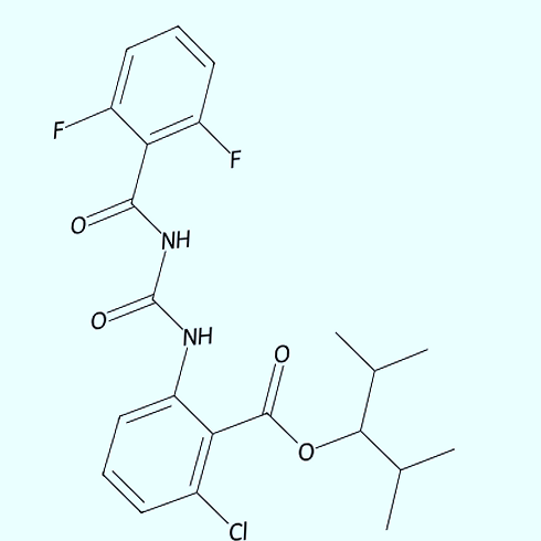 CC(C)C(OC(=O)c1c(Cl)cccc1NC(=O)NC(=O)c1c(F)cccc1F)C(C)C